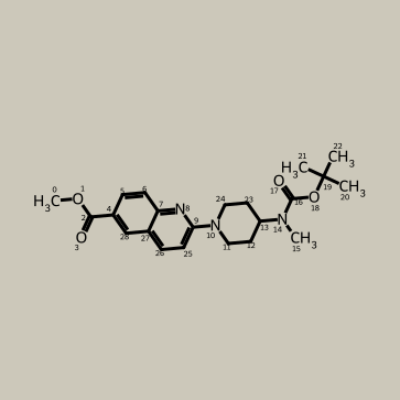 COC(=O)c1ccc2nc(N3CCC(N(C)C(=O)OC(C)(C)C)CC3)ccc2c1